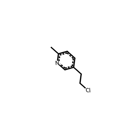 Cc1ccc(CCCl)cn1